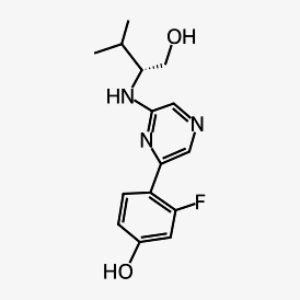 CC(C)[C@H](CO)Nc1cncc(-c2ccc(O)cc2F)n1